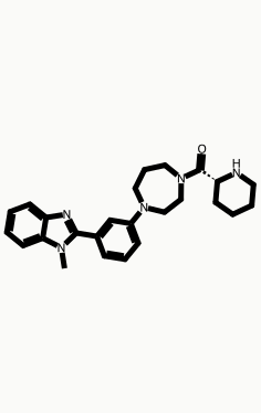 Cn1c(-c2cccc(N3CCCN(C(=O)[C@H]4CCCCN4)CC3)c2)nc2ccccc21